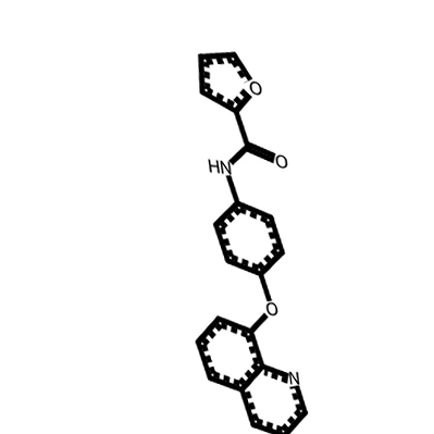 O=C(Nc1ccc(Oc2cccc3cccnc23)cc1)c1ccco1